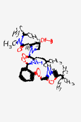 CC(C)C[C@@H](NC(=O)c1ccccc1OCc1ncc(C(C)(C)C)o1)C(=O)N1C[C@@H](O)C[C@@H]1C(=O)N(C)C(C)C